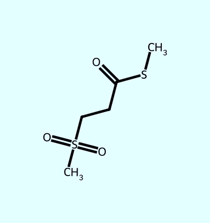 CSC(=O)CCS(C)(=O)=O